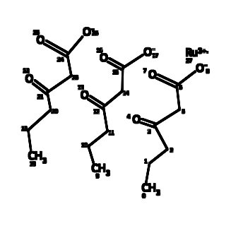 CCCC(=O)CC(=O)[O-].CCCC(=O)CC(=O)[O-].CCCC(=O)CC(=O)[O-].[Ru+3]